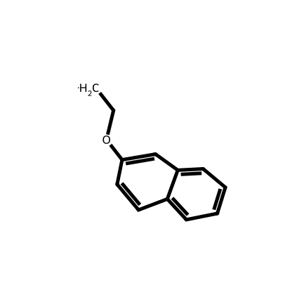 [CH2]COc1ccc2ccccc2c1